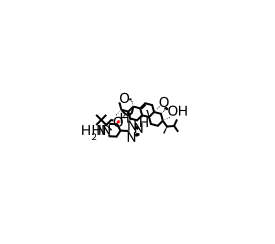 CC(C)[C@@H](C)[C@@]1(C)CC[C@]2(C)[C@H]3CC[C@@H]4[C@@]5(COC[C@]4(C)[C@@H](OC[C@](C)(N)C(C)(C)C)[C@H](n4ncnc4C4CCNCC4)C5)C3=CC[C@@]2(C)[C@@H]1C(=O)O